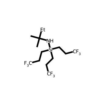 CCC(C)(C)N[Si](CCC(F)(F)F)(CCC(F)(F)F)CCC(F)(F)F